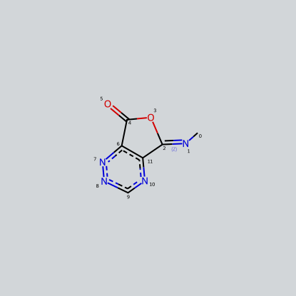 C/N=C1\OC(=O)c2nncnc21